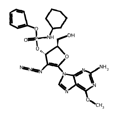 COc1nc(N)nc2c1ncn2C1=C(N=[N+]=[N-])[C@H](OP(=O)(NC2CCCCC2)Oc2ccccc2)[C@@H](CO)O1